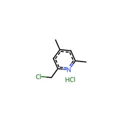 Cc1cc(C)nc(CCl)c1.Cl